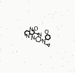 COc1cccc(N(CC2CC2)[C@H]2CC[C@@H](N(C)c3c(C#N)c(=O)n(C)c4cccnc34)CC2)c1